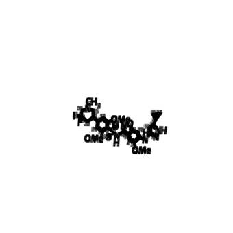 COc1cc2c(NS(=O)(=O)c3c(OC)cc(C4CN(C)CC(F)(F)C4)cc3OC)noc2cc1Nc1cc(C2CC2)[nH]n1